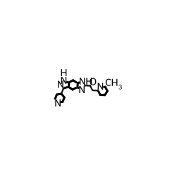 Cc1cccc(CC(=O)c2nc3cc4c(-c5ccncc5)n[nH]c4cc3[nH]2)n1